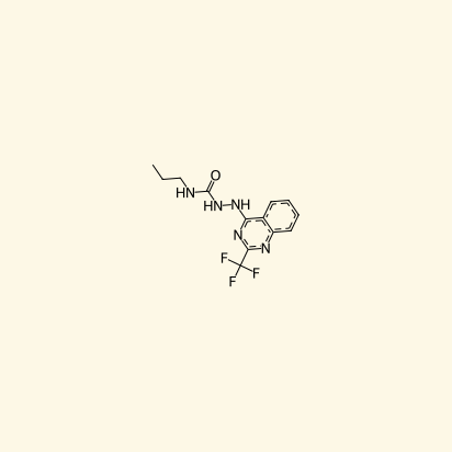 CCCNC(=O)NNc1nc(C(F)(F)F)nc2ccccc12